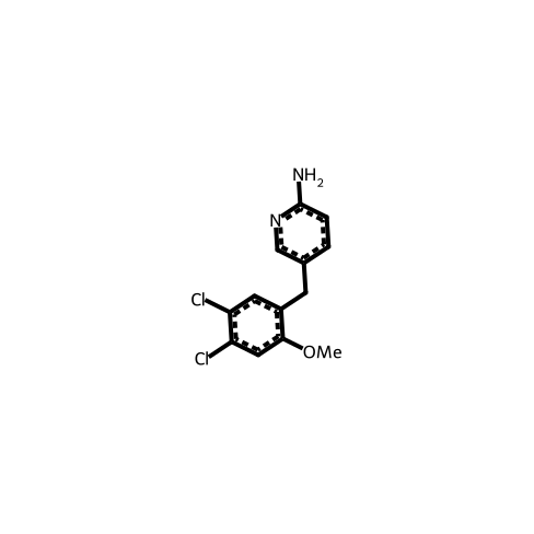 COc1cc(Cl)c(Cl)cc1Cc1ccc(N)nc1